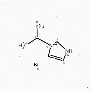 CCCCC(C)[n+]1cc[nH]c1.[Br-]